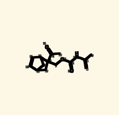 C=C(C)NC(=O)OCC1(C(C)=O)CC2C=CC1C2